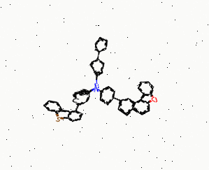 c1ccc(-c2ccc(N(c3ccc(-c4ccc5ccc6oc7ccccc7c6c5c4)cc3)c3cccc(-c4cccc5sc6ccccc6c45)c3)cc2)cc1